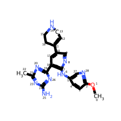 COc1ccc(Nc2ncc(C3=CCNCC3)cc2-c2nc(C)nc(N)n2)cn1